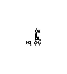 CO.Cl.[CH2]